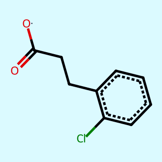 [O]C(=O)CCc1ccccc1Cl